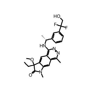 CCC1(OC)C(=O)N(C)c2cc3c(C)nnc(N[C@H](C)c4cccc(C(F)(F)CO)c4)c3cc21